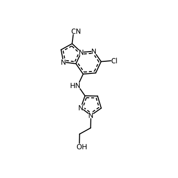 N#Cc1cnc2c(Nc3ccn(CCO)n3)cc(Cl)nn12